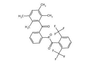 Cc1cc(C)c(C)c(C(=O)c2ccccc2[P](=O)C(=O)c2c(C(F)(F)F)cccc2C(F)(F)F)c1C